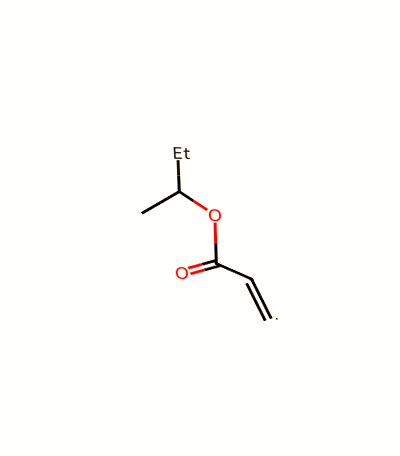 [CH]=CC(=O)OC(C)CC